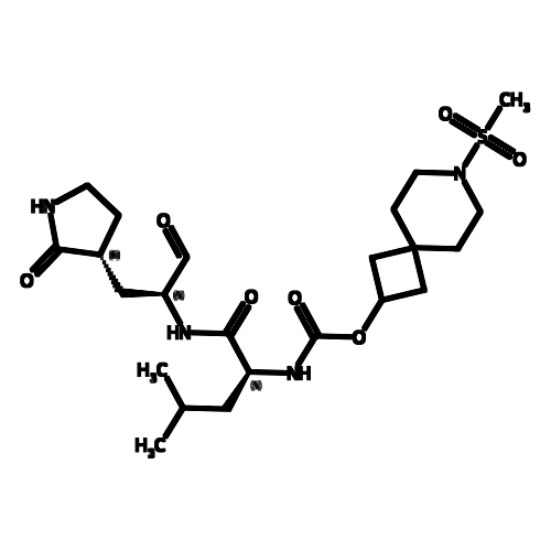 CC(C)C[C@H](NC(=O)OC1CC2(CCN(S(C)(=O)=O)CC2)C1)C(=O)N[C@H](C=O)C[C@H]1CCNC1=O